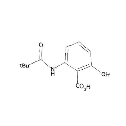 CC(C)(C)C(=O)Nc1cccc(O)c1C(=O)O